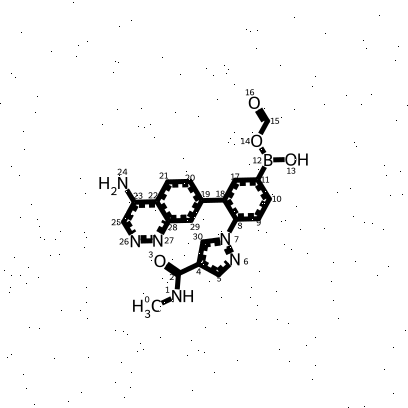 CNC(=O)c1cnn(-c2ccc(B(O)OC=O)cc2-c2ccc3c(N)cnnc3c2)c1